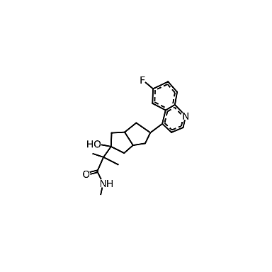 CNC(=O)C(C)(C)C1(O)CC2CC(c3ccnc4ccc(F)cc34)CC2C1